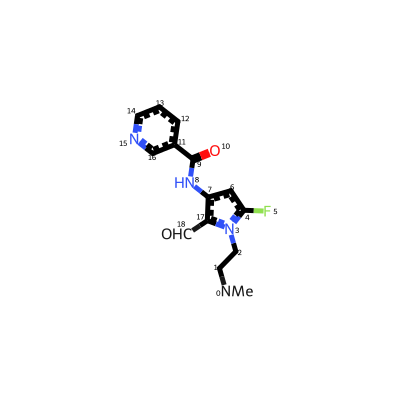 CNCCn1c(F)cc(NC(=O)c2cccnc2)c1C=O